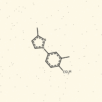 Cc1ccn(-c2ccc(C(=O)O)c(C)c2)n1